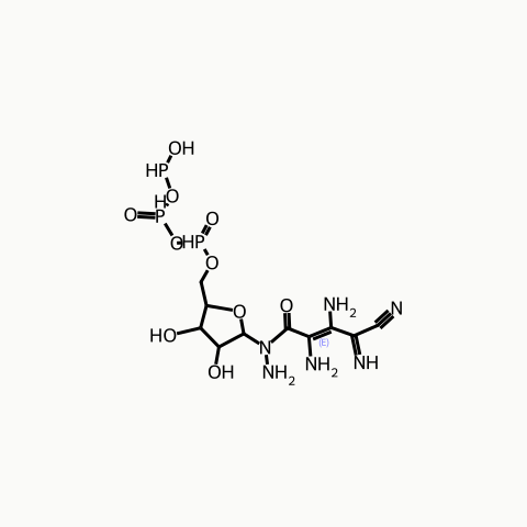 N#CC(=N)/C(N)=C(\N)C(=O)N(N)C1OC(CO[PH](=O)O[PH](=O)OPO)C(O)C1O